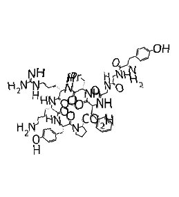 CC(C)C[C@H](NC(=O)[C@H](Cc1ccccc1)NC(=O)CNC(=O)CNC(=O)[C@@H](N)Cc1ccc(O)cc1)C(=O)N[C@@H](CCCNC(=N)N)C(=O)N[C@@H](CCCCN)C(=O)N[C@@H](Cc1ccc(O)cc1)C(=O)N1CCC[C@H]1C(=O)O